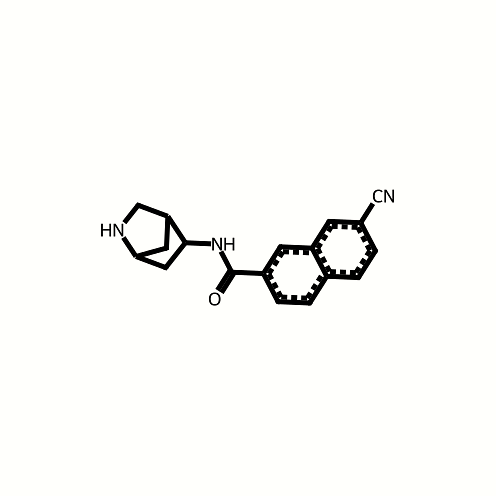 N#Cc1ccc2ccc(C(=O)NC3CC4CC3CN4)cc2c1